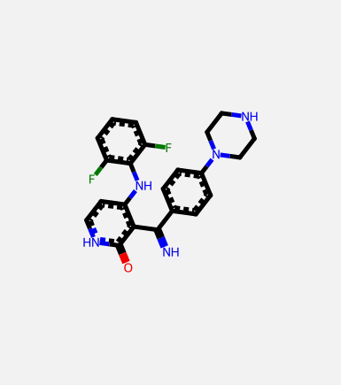 N=C(c1ccc(N2CCNCC2)cc1)c1c(Nc2c(F)cccc2F)cc[nH]c1=O